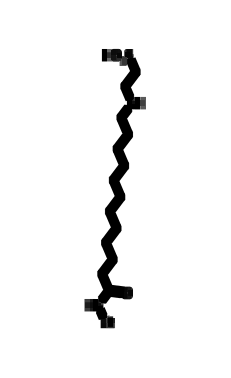 CCNC(=O)CCCCCCCCCCCNCCS(=O)(=O)O